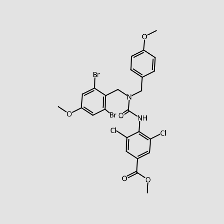 COC(=O)c1cc(Cl)c(NC(=O)N(Cc2ccc(OC)cc2)Cc2c(Br)cc(OC)cc2Br)c(Cl)c1